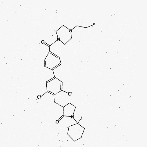 O=C(c1ccc(-c2cc(Cl)c(CC3CCN(C4(I)CCCCC4)C3=O)c(Cl)c2)cc1)N1CCN(CCF)CC1